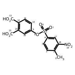 Cc1ccc(S(=O)(=O)Oc2ccc(C(=O)O)c(C(=O)O)c2)cc1[N+](=O)[O-]